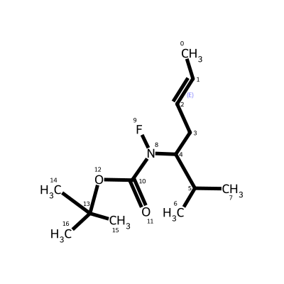 C/C=C/CC(C(C)C)N(F)C(=O)OC(C)(C)C